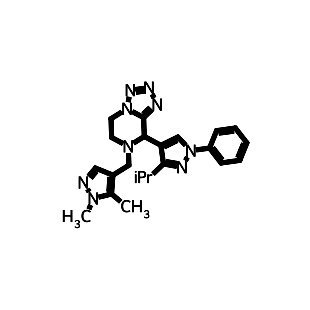 Cc1c(CN2CCn3nnnc3C2c2cn(-c3ccccc3)nc2C(C)C)cnn1C